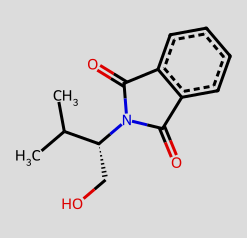 CC(C)[C@@H](CO)N1C(=O)c2ccccc2C1=O